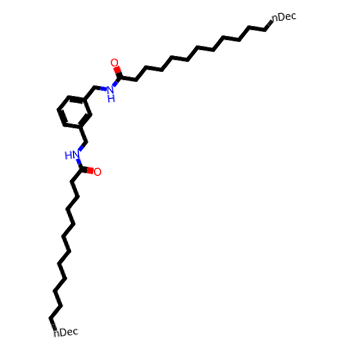 CCCCCCCCCCCCCCCCCCCCCC(=O)NCc1cccc(CNC(=O)CCCCCCCCCCCCCCCCCCCCC)c1